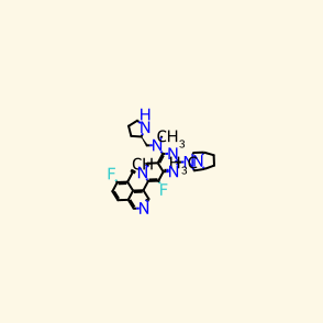 C#Cc1c(F)ccc2cncc(-c3ncc4c(N(C)C[C@H]5CCCN5)nc(N5CC6CCC(C5)N6C)nc4c3F)c12